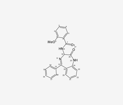 COc1ccccc1C(=O)NC1N=C(c2ccccc2)c2ccccc2NC1=O